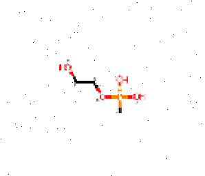 C[PH](O)(O)OCCO